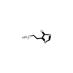 O=C(O)CCC1=NC=NC1=O